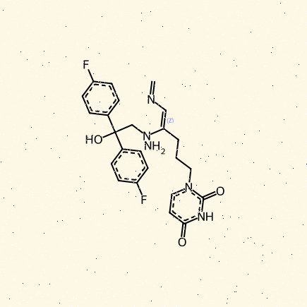 C=N/C=C(/CCCn1ccc(=O)[nH]c1=O)N(N)CC(O)(c1ccc(F)cc1)c1ccc(F)cc1